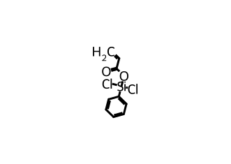 C=CC(=O)O[Si](Cl)(Cl)c1ccccc1